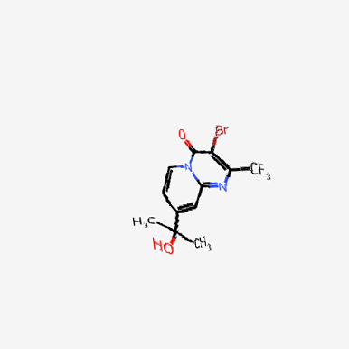 CC(C)(O)c1ccn2c(=O)c(Br)c(C(F)(F)F)nc2c1